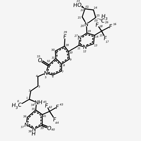 CC(CCCn1ccc2cc(-c3ncc(C(F)(F)F)c(N4C[C@@H](O)C[C@@H]4C)n3)c(F)cc2c1=O)Nc1cn[nH]c(=O)c1C(F)(F)F